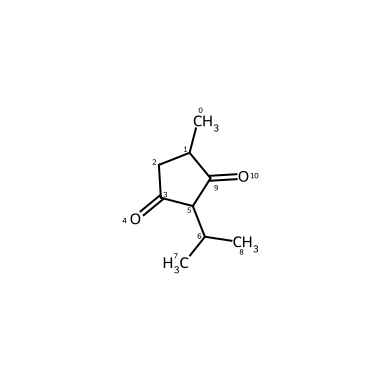 CC1CC(=O)C(C(C)C)C1=O